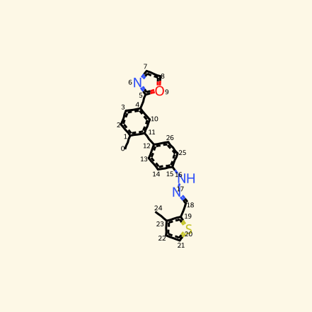 Cc1ccc(-c2ncco2)cc1-c1ccc(NN=Cc2sccc2C)cc1